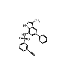 Cc1c[nH]c2c(NS(=O)(=O)c3cccc(C#N)c3)cc(-c3ccccc3)cc12